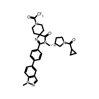 Cn1ncc2cc(-c3ccc(C4=NC5(CCN(C(=O)C(F)(F)F)CC5)C(=O)N4C[C@@H]4CCN(C(=O)C5CC5)C4)cc3)ccc21